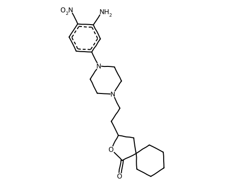 Nc1cc(N2CCN(CCC3CC4(CCCCC4)C(=O)O3)CC2)ccc1[N+](=O)[O-]